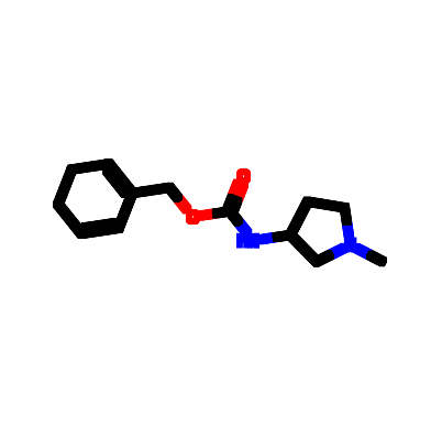 CN1CCC(NC(=O)OCC2=CCCC=C2)C1